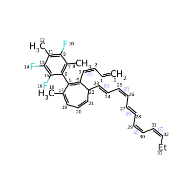 C=C/C=C\C1=C(c2c(C)c(F)c(C)c(F)c2F)C(C)=CC=CC1/C=C/C=C\C=C\C=C/C=C\CC